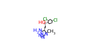 Cc1nc2ncnn2c(N)c1C#CC(O)c1ccc(Cl)cc1Cl